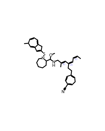 C\C=C/C=C(\C=C(/C)CNC(OC)C1CCCCCN1SC1=CC2=CC(C)C=CC=C2C1)CCC1=CCC=C(C#N)C=C1